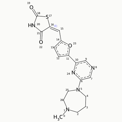 CN1CCCN(c2cncc(-c3ccc(/C=C4/SC(=O)NC4=O)o3)n2)CC1